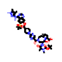 Cc1[nH]nc(Nc2ncnc3cc(OCC4CCN(c5cnc(C(=O)N6CC[C@H]7CCC(C(=O)O)N7C(=O)[C@@H](NC(=O)C(C)N(C)C(=O)OC(C)(C)C)C6)cn5)CC4)c(S(=O)(=O)C(C)(C)C)cc23)c1C